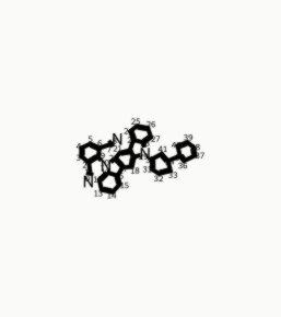 N#Cc1cccc(C#N)c1-n1c2ccccc2c2cc3c(cc21)c1ccccc1n3-c1cccc(-c2ccccc2)c1